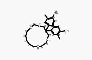 Cc1cc(C2(c3ccc(O)c(C)c3)CCCCCCCCCCCCCC2)ccc1O